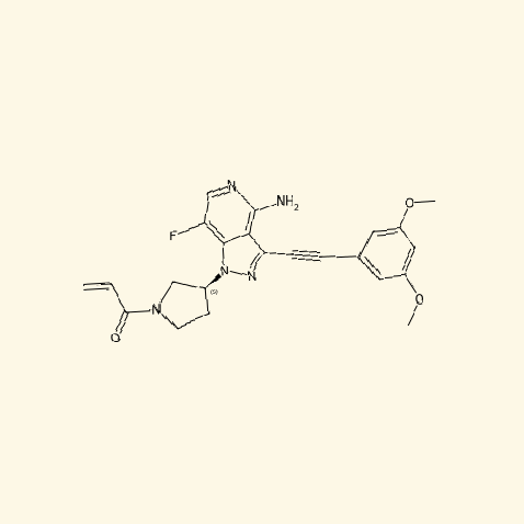 C=CC(=O)N1CC[C@H](n2nc(C#Cc3cc(OC)cc(OC)c3)c3c(N)ncc(F)c32)C1